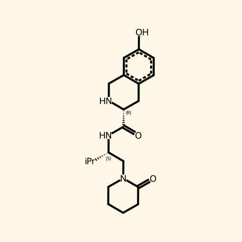 CC(C)[C@@H](CN1CCCCC1=O)NC(=O)[C@H]1Cc2ccc(O)cc2CN1